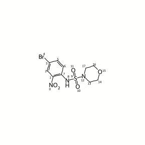 O=[N+]([O-])c1cc(Br)ccc1NS(=O)(=O)N1CCOCC1